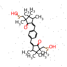 CC1/C(=C/c2ccc(/C=C3\C(=O)C(C)(CSO)C(C)(C)C3C)cc2)C(=O)C(C)(CSO)C1(C)C